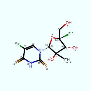 CC1(O)[C@@H](O)[C@@](F)(CO)O[C@H]1n1cc(F)c(=S)[nH]c1=S